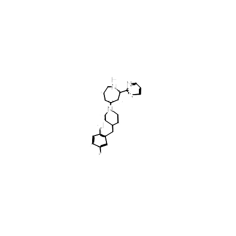 Clc1ccc(Cl)c(CC2CCN(C3CCCNC(c4ncccn4)C3)CC2)c1